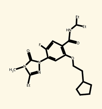 CCc1nn(-c2cc(OCCC3CCCC3)c(C(=O)NC(CC)CC)cc2F)c(=O)n1C